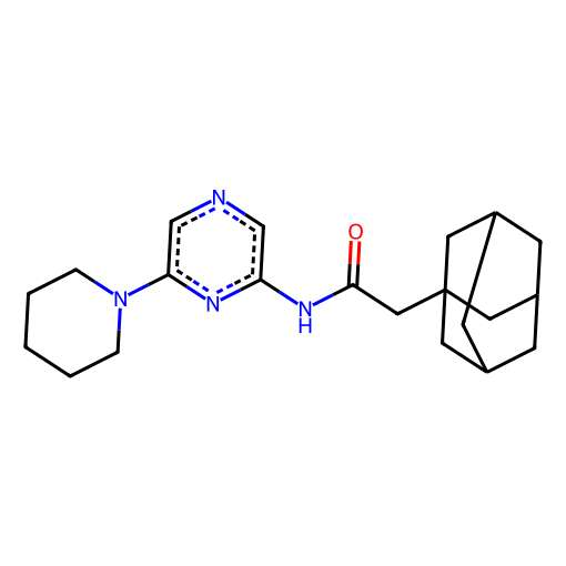 O=C(CC12CC3CC(CC(C3)C1)C2)Nc1cncc(N2CCCCC2)n1